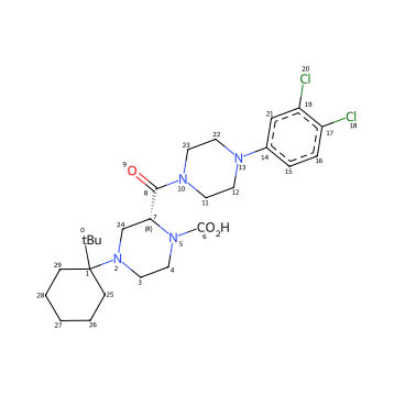 CC(C)(C)C1(N2CCN(C(=O)O)[C@@H](C(=O)N3CCN(c4ccc(Cl)c(Cl)c4)CC3)C2)CCCCC1